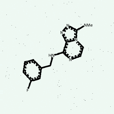 CNc1nnc2c(NCc3cccc(F)c3)nccn12